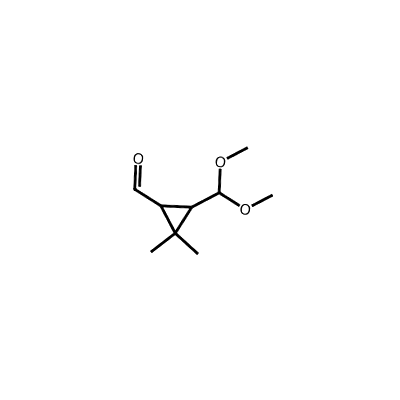 COC(OC)C1C(C=O)C1(C)C